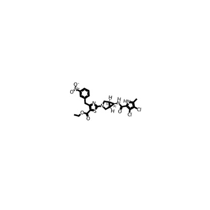 CCOC(=O)c1sc(N2C[C@@H]3[C@H](C2)[C@@H]3NC(=O)c2[nH]c(C)c(Cl)c2Cl)nc1Cc1cccc([N+](=O)[O-])c1